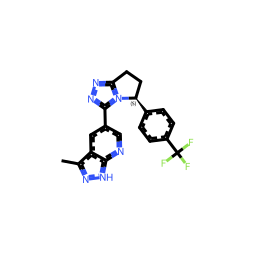 Cc1n[nH]c2ncc(-c3nnc4n3[C@H](c3ccc(C(F)(F)F)cc3)CC4)cc12